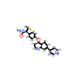 CNC(=O)c1c(C)sc2cc(Oc3ccnc4cc(-c5ccncc5)ccc34)ccc12